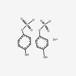 O=S(=O)([O-])Oc1ccc(O)cc1.O=S(=O)([O-])Oc1ccc(O)cc1.[Zn+2]